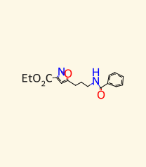 CCOC(=O)c1cc(CCCNC(=O)c2ccccc2)on1